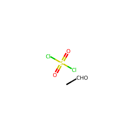 CC=O.O=S(=O)(Cl)Cl